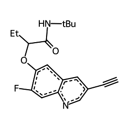 C#Cc1cnc2cc(F)c(OC(CC)C(=O)NC(C)(C)C)cc2c1